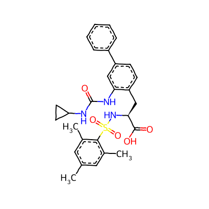 Cc1cc(C)c(S(=O)(=O)N[C@@H](Cc2ccc(-c3ccccc3)cc2NC(=O)NC2CC2)C(=O)O)c(C)c1